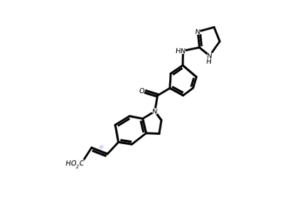 O=C(O)/C=C/c1ccc2c(c1)CCN2C(=O)c1cccc(NC2=NCCN2)c1